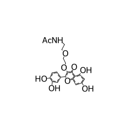 CC(=O)NCCOCCOc1c(-c2ccc(O)c(O)c2)oc2cc(O)cc(O)c2c1=O